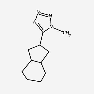 Cn1nnnc1C1CC2CCCCC2C1